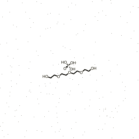 O=P(O)(O)O.OCCOCCOCCOCCO